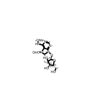 CONc1ncnc2c1N(C=O)CN2O[C@H]1O[C@H](CO)[C@@H](O)[C@@]1(C)O